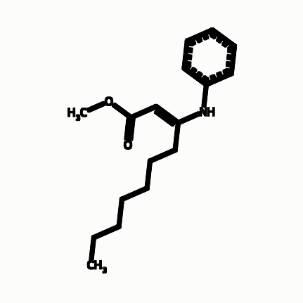 CCCCCCCC(=CC(=O)OC)Nc1ccccc1